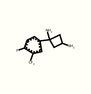 NC1CC(N)(c2ccc(F)c(C(F)(F)F)c2)C1